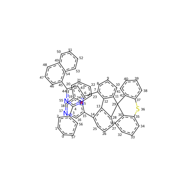 c1ccc(-c2nc(-c3cccc4c3-c3c(-c5cncc6ccccc56)cccc3C43c4ccccc4Sc4ccccc43)cc(-c3cccc4ccccc34)n2)cc1